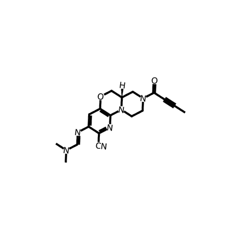 CC#CC(=O)N1CCN2c3nc(C#N)c(/N=C/N(C)C)cc3OC[C@@H]2C1